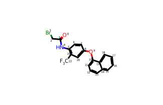 O=C(CBr)Nc1ccc(Oc2cccc3ccccc23)cc1C(F)(F)F